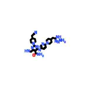 N#CCC1CCN(c2nc(C=N)c(C(N)=O)c(Nc3ccc(N4CCC(CC(=N)/N=N\N)CC4)nc3)n2)CC1